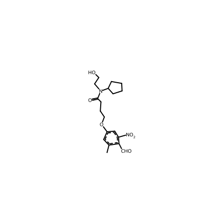 Cc1cc(OCCCC(=O)N(CCO)C2CCCC2)cc([N+](=O)[O-])c1C=O